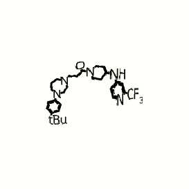 CC(C)(C)c1ccc(N2CCCN(CCC(=O)N3CCC(Nc4ccnc(C(F)(F)F)c4)CC3)CC2)cc1